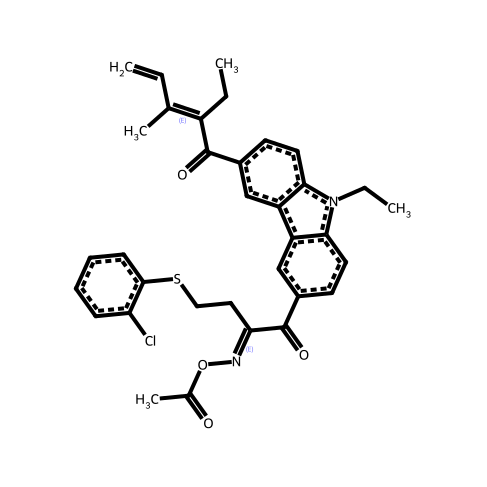 C=C/C(C)=C(\CC)C(=O)c1ccc2c(c1)c1cc(C(=O)/C(CCSc3ccccc3Cl)=N/OC(C)=O)ccc1n2CC